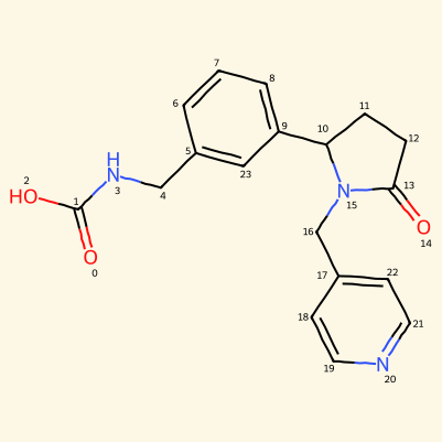 O=C(O)NCc1cccc(C2CCC(=O)N2Cc2ccncc2)c1